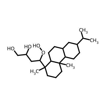 CC(C)C1CCC2C(CCC3C(C)(C(CC(O)CO)OO)CCCC23C)C1